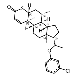 CC(Oc1cccc(Cl)c1)[C@H]1CC[C@H]2[C@@H]3[C@@H](C)C[C@H]4SC(=O)C=C[C@]4(C)[C@H]3CC[C@]12C